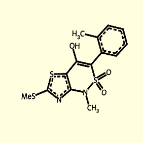 CSc1nc2c(s1)C(O)=C(c1ccccc1C)S(=O)(=O)N2C